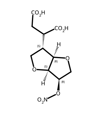 O=C(O)CC(C(=O)O)[C@H]1CO[C@H]2[C@@H]1OC[C@H]2O[N+](=O)[O-]